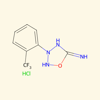 Cl.N=C1NN(c2ccccc2C(F)(F)F)NO1